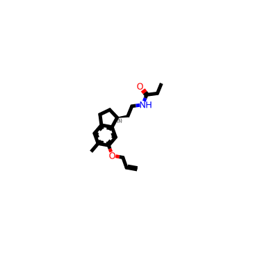 C=CCOc1cc2c(cc1C)CC[C@H]2CCNC(=O)CC